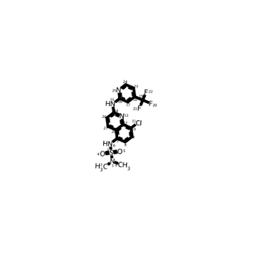 CN(C)S(=O)(=O)Nc1ccc(Cl)c2nc(Nc3cc(C(F)(F)F)ccn3)ccc12